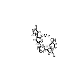 COc1nc(C2=NOCC(c3cn(C)c4ccc(C#N)cc34)N2)ccc1-n1cnc(C)c1